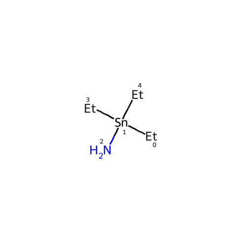 C[CH2][Sn]([NH2])([CH2]C)[CH2]C